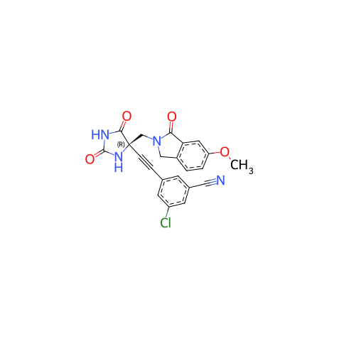 COc1ccc2c(c1)C(=O)N(C[C@@]1(C#Cc3cc(Cl)cc(C#N)c3)NC(=O)NC1=O)C2